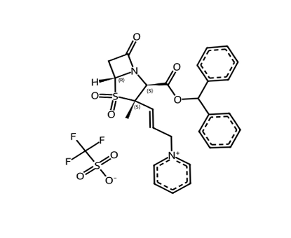 C[C@]1(C=CC[n+]2ccccc2)[C@H](C(=O)OC(c2ccccc2)c2ccccc2)N2C(=O)C[C@H]2S1(=O)=O.O=S(=O)([O-])C(F)(F)F